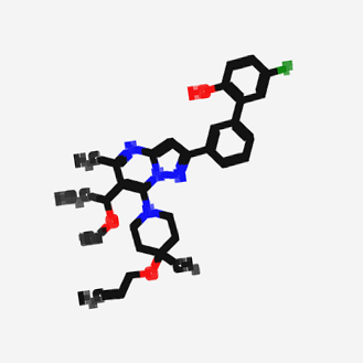 C=CCOC1(C)CCN(c2c(C(OC(C)(C)C)C(=O)O)c(C)nc3cc(-c4cccc(-c5cc(F)ccc5O)c4)nn23)CC1